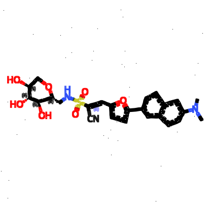 CN(C)c1ccc2cc(-c3ccc(/C=C(\C#N)S(=O)(=O)NC[C@H]4OC[C@H](O)[C@@H](O)[C@@H]4O)o3)ccc2c1